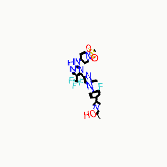 Cc1nc(-c2nc(NC3CCN(S(C)(=O)=O)CC3)ncc2C(F)(F)F)cn1-c1ccc(C2CN(C[C@@H](C)O)C2)cc1F